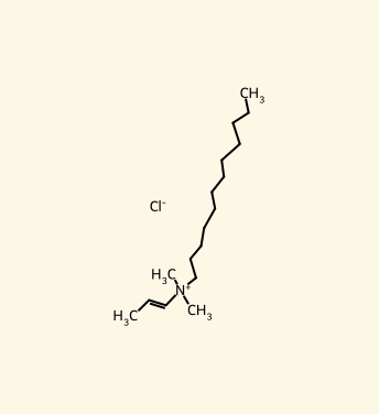 CC=C[N+](C)(C)CCCCCCCCCCCC.[Cl-]